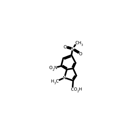 Cn1c(C(=O)O)cc2cc(S(C)(=O)=O)cc([N+](=O)[O-])c21